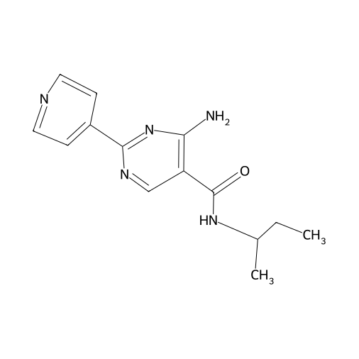 CCC(C)NC(=O)c1cnc(-c2ccncc2)nc1N